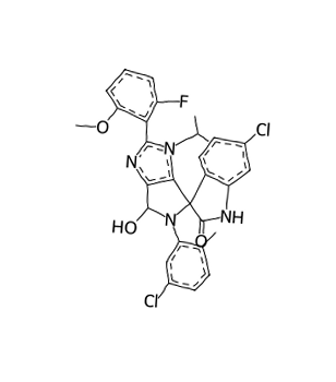 COc1cccc(F)c1-c1nc2c(n1C(C)C)C1(C(=O)Nc3cc(Cl)ccc31)N(c1cc(Cl)ccc1C)C2O